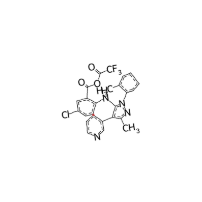 Cc1ccccc1-n1nc(C)c(-c2cccnc2)c1Nc1ccc(Cl)cc1C(=O)OC(=O)C(F)(F)F